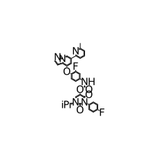 Cc1cccc(-c2cc(Oc3ccc(NC(=O)Oc4cn(C(C)C)c(=O)n(-c5ccc(F)cc5)c4=O)cc3F)c3ccnn3c2)n1